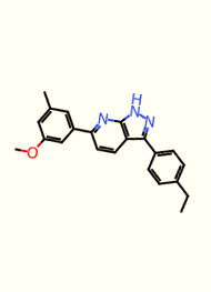 CCc1ccc(-c2n[nH]c3nc(-c4cc(C)cc(OC)c4)ccc23)cc1